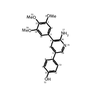 COc1cc(-c2cc(-c3ccc(O)cc3)cnc2N)cc(OC)c1OC